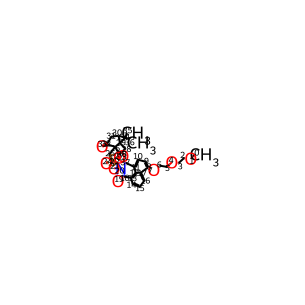 COCCOCCOc1ccc2c3c(cccc13)C(=O)N(OS(=O)(=O)CC13CCC14C(CC3=O)C4(C)C)C2=O